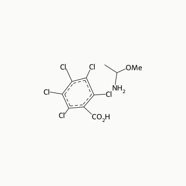 COC(C)N.O=C(O)c1c(Cl)c(Cl)c(Cl)c(Cl)c1Cl